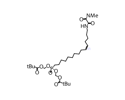 CNC(=O)C(=O)NCCCC/C=C\CCCCCCCCCP(=O)(OCOC(=O)C(C)(C)C)OCOC(=O)C(C)(C)C